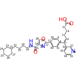 O=C(O)CCC/C=C(\c1ccc(-c2nc(C(=O)NCCCCC3CCCCC3)co2)cc1)c1cccnc1